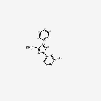 CCOC(=O)c1nn(-c2cccc(F)c2)cc1-c1ccccc1